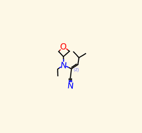 CCN(/C(C#N)=C\C(C)C)C1COC1